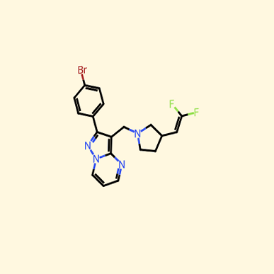 FC(F)=CC1CCN(Cc2c(-c3ccc(Br)cc3)nn3cccnc23)C1